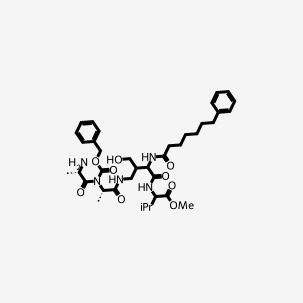 COC(=O)C(NC(=O)C(NC(=O)CCCCCCc1ccccc1)C(CO)CNC(=O)[C@H](C)N(C(=O)OCc1ccccc1)C(=O)[C@H](C)N)C(C)C